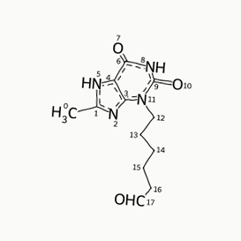 Cc1nc2c([nH]1)c(=O)[nH]c(=O)n2CCCCCC=O